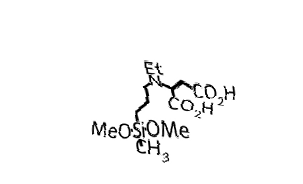 CCN(CCC[Si](C)(OC)OC)C(CC(=O)O)C(=O)O